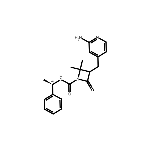 C[C@@H](NC(=O)N1C(=O)C(Cc2ccnc(N)c2)C1(C)C)c1ccccc1